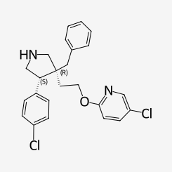 Clc1ccc([C@@H]2CNC[C@@]2(CCOc2ccc(Cl)cn2)Cc2ccccc2)cc1